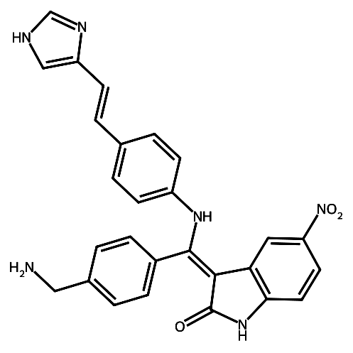 NCc1ccc(C(Nc2ccc(C=Cc3c[nH]cn3)cc2)=C2C(=O)Nc3ccc([N+](=O)[O-])cc32)cc1